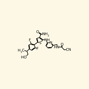 CC(CO)c1cc(F)c(-c2cc(C(N)=O)c(Nc3cccc(CNC(=O)CC#N)n3)s2)c(F)c1